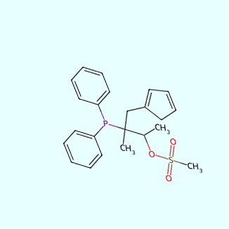 CC(OS(C)(=O)=O)C(C)(CC1=CC=CC1)P(c1ccccc1)c1ccccc1